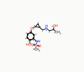 CC(O)CNCC1CC1Oc1ccc(O)c(NS(C)(=O)=O)c1